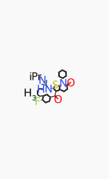 Cc1cc(C(=O)c2c(NC3CN(C(C)C)C3)sc3c2ccc(=O)n3-c2ccccc2)ccc1F